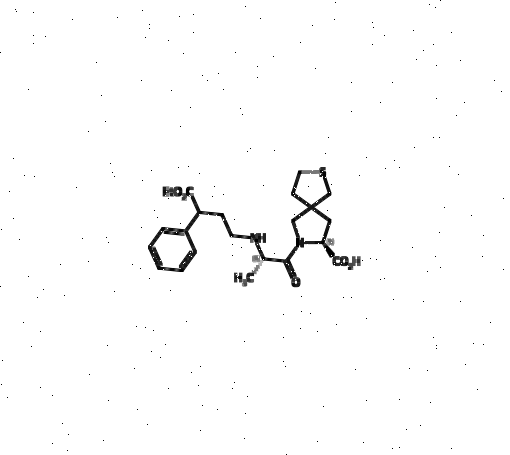 CCOC(=O)C(CCN[C@@H](C)C(=O)N1CC2(CCSC2)C[C@H]1C(=O)O)c1ccccc1